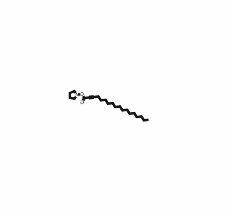 CCCCCCCCCCCCCCCC#CC(=O)ON1CCCC1